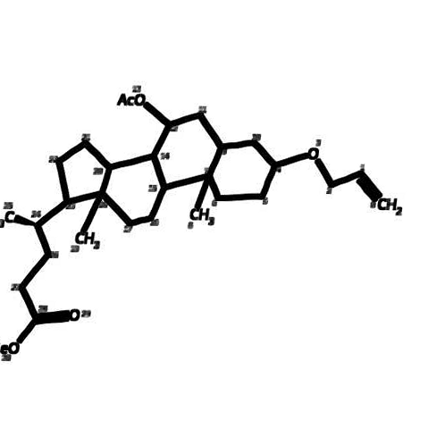 C=CCOC1CCC2(C)C(C1)CC(OC(C)=O)C1C2CCC2(C)C1CCC2[C@H](C)CCC(=O)OC